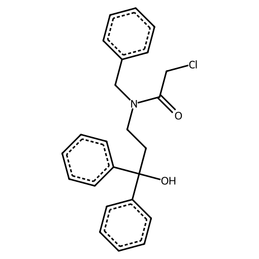 O=C(CCl)N(CCC(O)(c1ccccc1)c1ccccc1)Cc1ccccc1